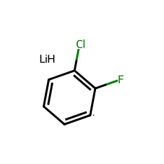 Fc1[c]cccc1Cl.[LiH]